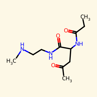 CCC(=O)NC(CC(C)=O)C(=O)NCCNC